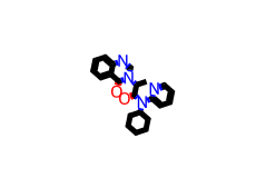 CC(C(=O)N(c1ccccn1)C1CCCCC1)n1cnc2ccccc2c1=O